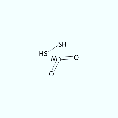 SS.[O]=[Mn]=[O]